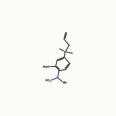 C=CC[Si](C)(C)c1ccc(N(C(=O)O)C(C)(C)C)c(OC)c1